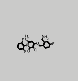 Cc1cc(OCc2ccc(F)cc2CN)c(Cl)c(=O)n1-c1c(F)cccc1F